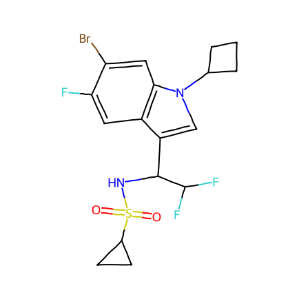 O=S(=O)(NC(c1cn(C2CCC2)c2cc(Br)c(F)cc12)C(F)F)C1CC1